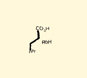 CCCCCC(=O)O.[RbH]